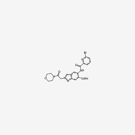 COc1cc2nn(CC(=O)N3CCOCC3)cc2cc1NC(=O)c1cccc(Br)n1